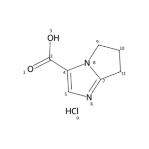 Cl.O=C(O)c1cnc2n1CCC2